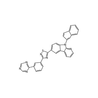 c1cc(-c2ncncn2)cc(-c2nsc(-c3ccc4c(c3)c3cccnc3n4-c3ccc4ccccc4c3)n2)c1